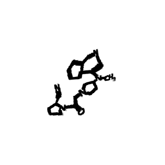 CN(c1cncc2ccccc12)[C@H]1CCN(CC(=O)N2CCC[C@H]2C#N)C1